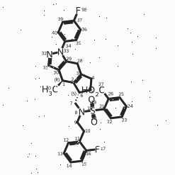 C[C@@H]1C2=C(CC[C@@H]2CN(CCc2ccccc2F)S(=O)(=O)c2ccccc2C(=O)O)Cc2c1cnn2-c1ccc(F)cc1